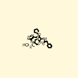 O=C(Cc1ccccc1)N[C@@H]1C(=O)N2CC(Sc3snnc3CSN3CCCC3)(C(=O)O)CS[C@H]12